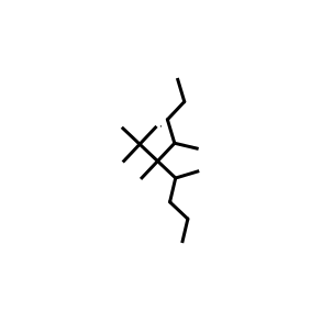 [CH2]C(C)(C)C(C)(C(C)CCC)C(C)CCC